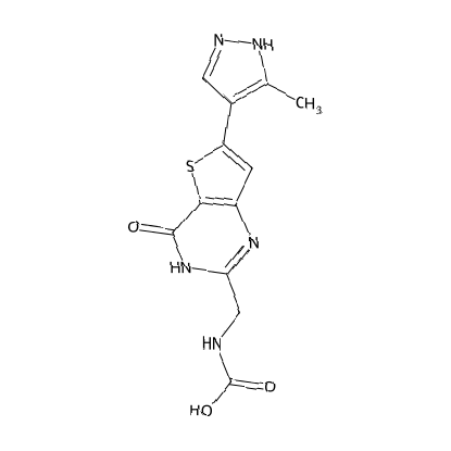 Cc1[nH]ncc1-c1cc2nc(CNC(=O)O)[nH]c(=O)c2s1